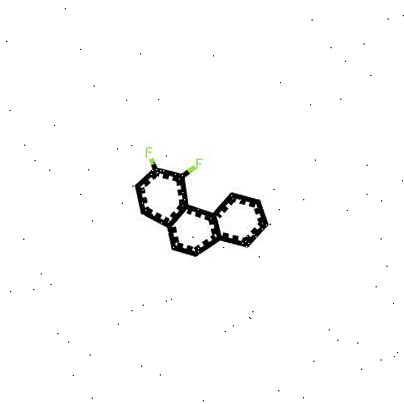 Fc1[c]cc2ccc3c[c]ccc3c2c1F